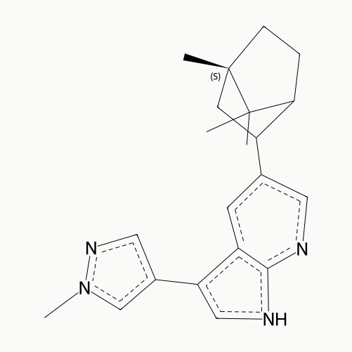 Cn1cc(-c2c[nH]c3ncc(C4C[C@]5(C)CCC4C5(C)C)cc23)cn1